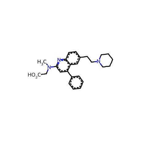 CN(CC(=O)O)c1cc(-c2ccccc2)c2cc(CCN3CCCCC3)ccc2n1